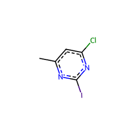 Cc1cc(Cl)nc(I)n1